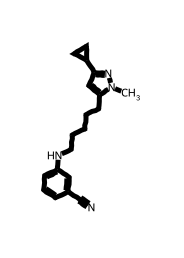 Cn1nc(C2CC2)cc1CCCCCNc1cccc(C#N)c1